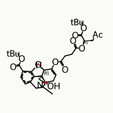 CC(=O)C[C@@H](OC(=O)CCC(=O)OC1=CC[C@@]2(O)C3Cc4ccc(C(=O)OC(C)(C)C)c5c4[C@@]2(CCN3C)[C@H]1O5)C(=O)OC(C)(C)C